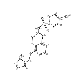 O=S(=O)(NC1CCc2c(CCc3ncc[nH]3)cccc2C1)c1ccc(Cl)cc1